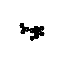 c1ccc(-n2ccc3c(-c4ccccc4-c4cccc5ccccc45)nc(-n4c5ccccc5c5cc(-c6ccc7c(c6)c6ccccc6n7-c6ccccc6)ccc54)nc32)cc1